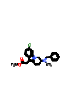 COC(=O)Cc1c2n(c3cc(Cl)ccc13)CC(N(C)Cc1ccccc1)CC2